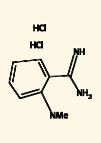 CNc1ccccc1C(=N)N.Cl.Cl